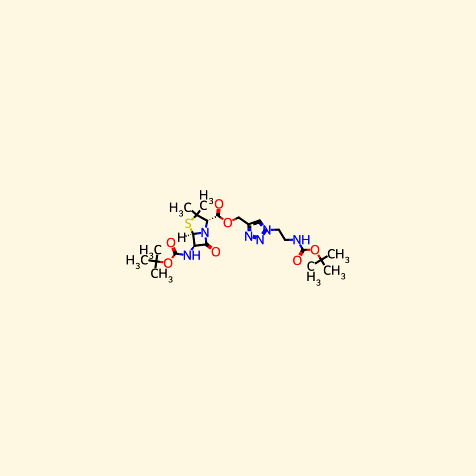 CC(C)(C)OC(=O)NCCn1cc(COC(=O)[C@@H]2N3C(=O)[C@@H](NC(=O)OC(C)(C)C)[C@H]3SC2(C)C)nn1